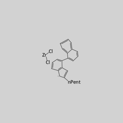 CCCCCC1=Cc2c(cccc2-c2cccc3ccccc23)[CH]1.[Cl][Zr][Cl]